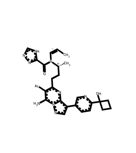 C/C=C\N(C(=O)c1nnc[nH]1)[C@H](C)CCc1nc2c(-c3ccc(C4(O)CCC4)nc3)cnn2c(N)c1C(C)=O